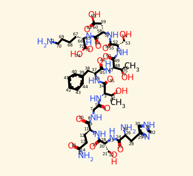 C[C@@H](O)[C@H](NC(=O)CNC(=O)[C@H](CCC(N)=O)NC(=O)[C@@H](CO)NC(=O)[C@@H](N)Cc1c[nH]cn1)C(=O)N[C@@H](Cc1ccccc1)C(=O)N[C@H](C(=O)N[C@@H](CO)C(=O)N[C@@H](CC(=O)O)C(=O)N[C@@H](CCCCN)C(=O)O)[C@@H](C)O